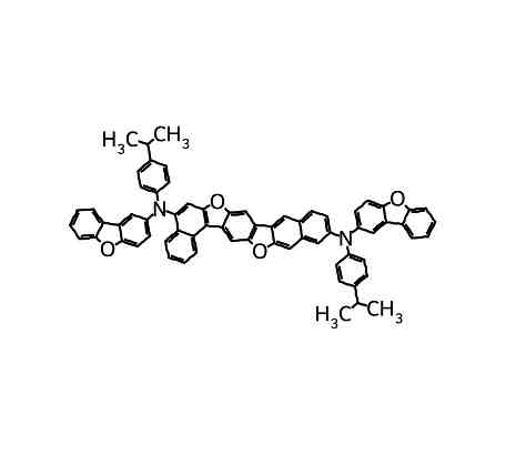 CC(C)c1ccc(N(c2ccc3cc4c(cc3c2)oc2cc3c(cc24)oc2cc(N(c4ccc(C(C)C)cc4)c4ccc5oc6ccccc6c5c4)c4ccccc4c23)c2ccc3oc4ccccc4c3c2)cc1